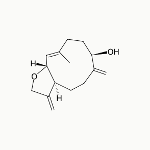 C=C1CC[C@H]2C(=C)CO[C@@H]2/C=C(\C)CC[C@H]1O